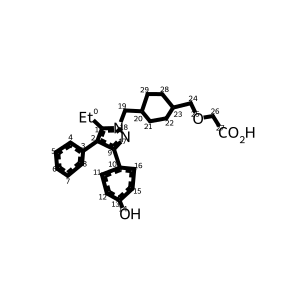 CCc1c(-c2ccccc2)c(-c2ccc(O)cc2)nn1CC1CCC(COCC(=O)O)CC1